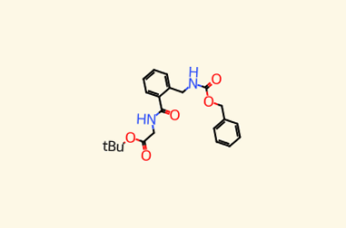 CC(C)(C)OC(=O)CNC(=O)c1ccccc1CNC(=O)OCc1ccccc1